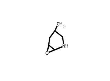 CC1CNC2OC2C1